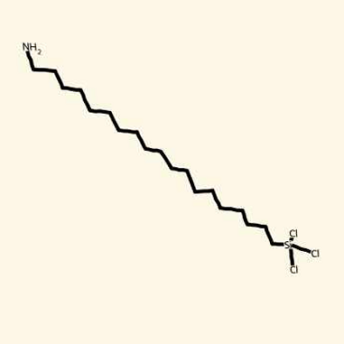 NCCCCCCCCCCCCCCCCCCC[Si](Cl)(Cl)Cl